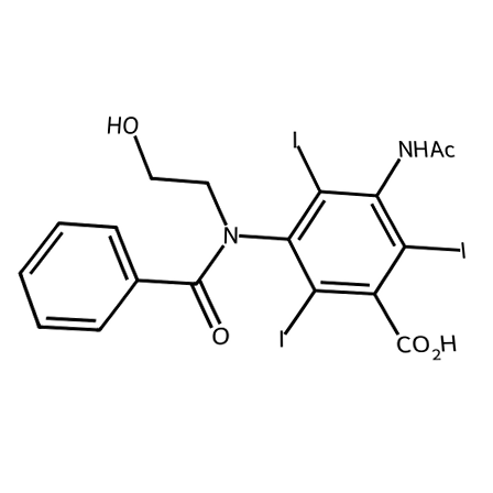 CC(=O)Nc1c(I)c(C(=O)O)c(I)c(N(CCO)C(=O)c2ccccc2)c1I